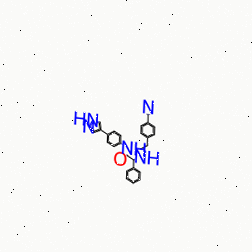 N#Cc1ccc(CCN[C@H](C(=O)Nc2ccc(-c3cn[nH]c3)cc2)c2ccccc2)cc1